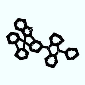 c1ccc(N2c3ccccc3N(c3ccc4c(c3)-c3sc5ccccc5c3C43c4ccccc4-c4ccccc43)c3ccccc32)cc1